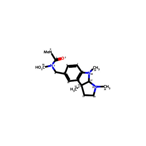 CNC(=O)N(Cc1ccc2c(c1)[C@]1(C)CCN(C)C1N2C)C(=O)O